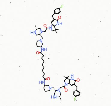 C[C@@H]1CN(CC(=O)N2CC(C)(C)c3[nH]c(=O)c(Cc4ccc(F)cc4)cc32)[C@@H](CN2CCC[C@@H](NC(=O)CCCCCCCCC(=O)N[C@@H]3CCCN(C[C@H]4CN[C@H](C)CN4CC(=O)N4CC(C)(C)c5[nH]c(=O)c(Cc6ccc(F)cc6)cc54)C3)C2)CN1